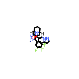 Cn1nc2c(c1-c1cc(F)c(F)c(F)c1)C[C@H]1CCC[C@@H]2N1C(=O)c1ccc2ccnn2c1